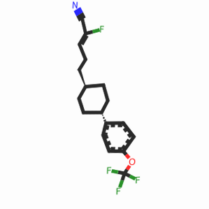 N#CC(F)=CCC[C@H]1CC[C@H](c2ccc(OC(F)(F)F)cc2)CC1